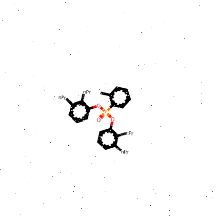 CCCc1cccc(OP(=O)(Oc2cccc(CCC)c2CCC)c2ccccc2C)c1CCC